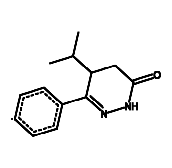 CC(C)C1CC(=O)NN=C1c1cc[c]cc1